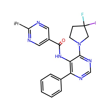 CC(C)c1ncc(C(=O)Nc2c(-c3ccccc3)ncnc2N2CCC(F)(I)C2)cn1